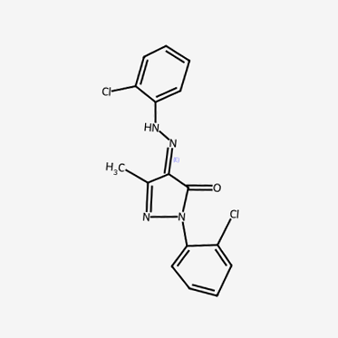 CC1=NN(c2ccccc2Cl)C(=O)/C1=N/Nc1ccccc1Cl